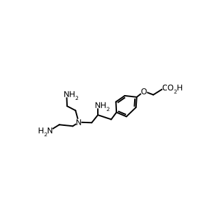 NCCN(CCN)CC(N)Cc1ccc(OCC(=O)O)cc1